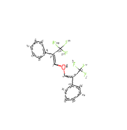 FC(F)(F)C(=COC=C(c1ccccc1)C(F)(F)F)c1ccccc1